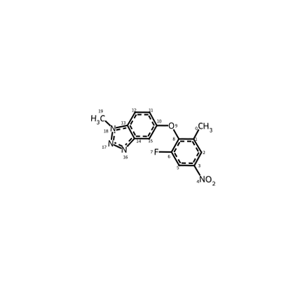 Cc1cc([N+](=O)[O-])cc(F)c1Oc1ccc2c(c1)nnn2C